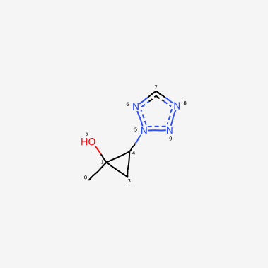 CC1(O)CC1n1ncnn1